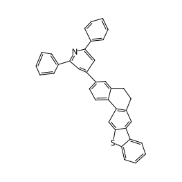 c1ccc(-c2cc(-c3ccc4c(c3)CCc3cc5c(cc3-4)sc3ccccc35)cc(-c3ccccc3)n2)cc1